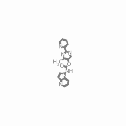 Cc1nc(-c2ccccn2)ncc1OC(=O)Nn1ccc2ncccc21